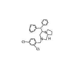 Clc1ccc(CN2CC(C(c3ccccc3)c3ccccc3)N3CCC[C@H]3C2)c(Cl)c1